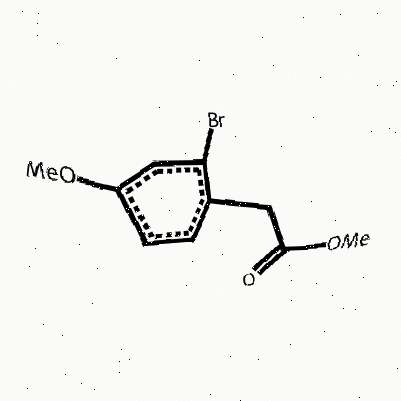 COC(=O)Cc1ccc(OC)cc1Br